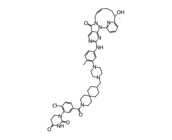 Cc1ccc(Nc2ncc3c(=O)n4n(c3n2)-c2cccc(n2)[C@](C)(O)CC/C=C\C4)cc1N1CCN(CC2CCC3(CC2)CCN(C(=O)c2ccc(Cl)c(N4CCC(=O)NC4=O)c2)CC3)CC1